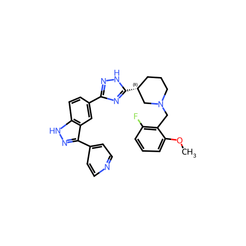 COc1cccc(F)c1CN1CCC[C@@H](c2nc(-c3ccc4[nH]nc(-c5ccncc5)c4c3)n[nH]2)C1